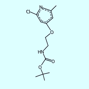 Cc1cc(OCCNC(=O)OC(C)(C)C)cc(Cl)n1